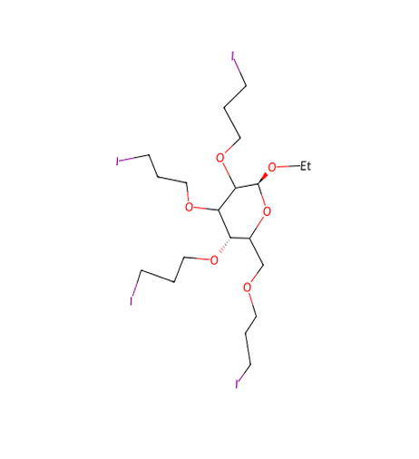 CCO[C@H]1OC(COCCCI)[C@H](OCCCI)C(OCCCI)C1OCCCI